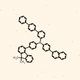 CC1(C)c2ccccc2-c2c(-c3ccc(N(c4ccc(-c5ccc6ccccc6c5)cc4)c4cccc(-c5ccc(-c6ccccc6)cc5)c4)cc3)cccc21